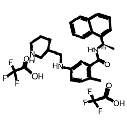 Cc1ccc(NCC2CCCNC2)cc1C(=O)N[C@H](C)c1cccc2ccccc12.O=C(O)C(F)(F)F.O=C(O)C(F)(F)F